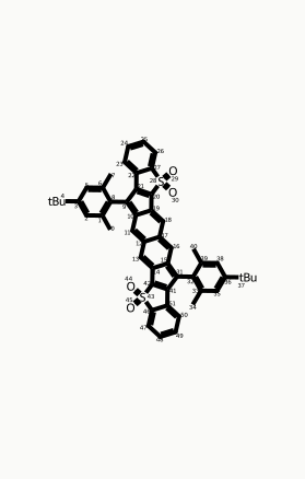 Cc1cc(C(C)(C)C)cc(C)c1C1=c2cc3cc4c(cc3cc2C2=C1c1ccccc1S2(=O)=O)=C(c1c(C)cc(C(C)(C)C)cc1C)C1=C4S(=O)(=O)c2ccccc21